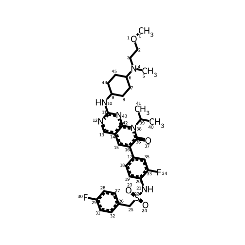 COCCN(C)C1CCC(Nc2ncc3cc(-c4ccc(NS(=O)(=O)Cc5ccc(F)cc5)c(F)c4)c(=O)n(C(C)C)c3n2)CC1